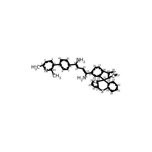 Cc1ccc(-c2ccc(/C(N)=C/C=C(\N)c3ccc4c(c3)C3(c5ccccc5Sc5ccccc53)c3ccccc3-4)cc2)c(C)n1